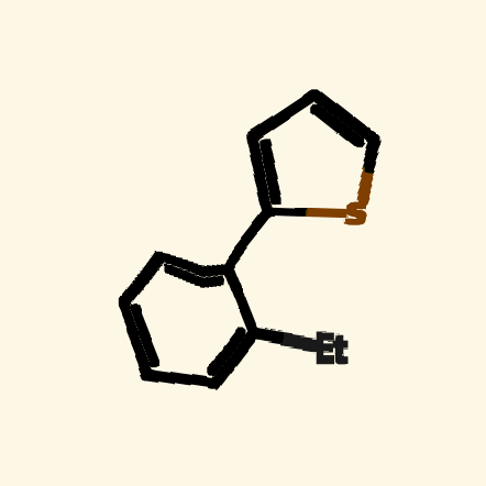 CCc1ccccc1-c1cccs1